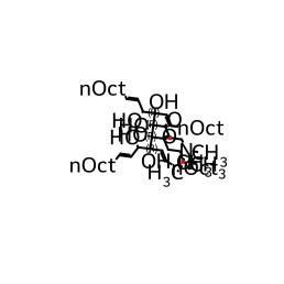 CCCCCCCCC=CC(O)[C@](O)(C=CCCCCCCCC)[C@](O)(C(=O)CCN(C)C)[C@@](O)(C(=O)CCN(C)C)[C@@](O)(C=CCCCCCCCC)C(O)C=CCCCCCCCC